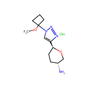 Cl.N[C@@H]1CC[C@@H](c2cn(C3(OC(F)(F)F)CCC3)nn2)OC1